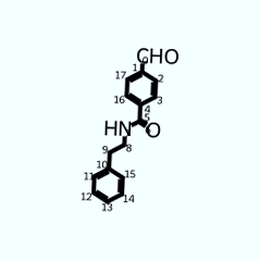 O=Cc1ccc(C(=O)NCCc2ccccc2)cc1